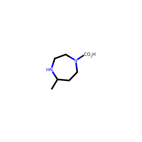 CC1CCN(C(=O)O)CCN1